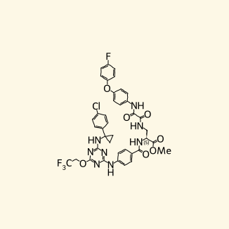 COC(=O)[C@H](CNC(=O)C(=O)Nc1ccc(Oc2ccc(F)cc2)cc1)NC(=O)c1ccc(Nc2nc(NC3(c4ccc(Cl)cc4)CC3)nc(OCC(F)(F)F)n2)cc1